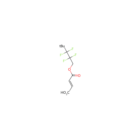 CC(C)(C)C(F)(F)C(F)(F)COC(=O)C=CC(=O)O